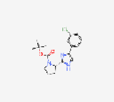 CC(C)(C)OC(=O)N1CCC[C@H]1c1nc(-c2cccc(Cl)c2)c[nH]1